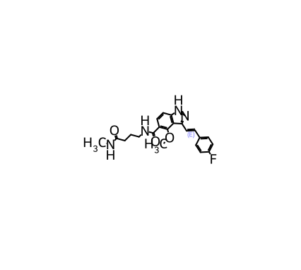 CNC(=O)CCCNC(=O)c1ccc2[nH]nc(/C=C/c3ccc(F)cc3)c2c1OC